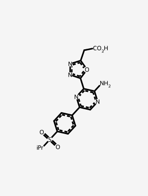 CC(C)S(=O)(=O)c1ccc(-c2cnc(N)c(-c3nnc(CC(=O)O)o3)n2)cc1